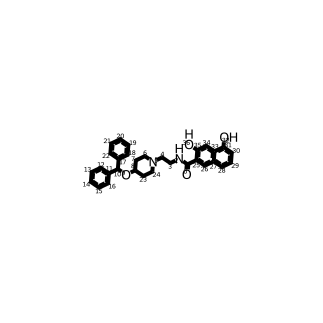 O=C(NCCN1CCC(OC(c2ccccc2)c2ccccc2)CC1)c1cc2cccc(O)c2cc1O